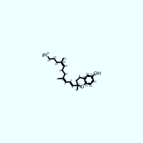 CC(=CC=CC1(C)CCc2cc(O)ccc2O1)CCC=C(C)CCCC(C)C